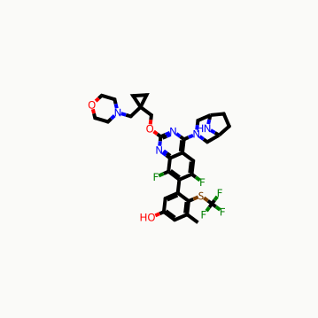 Cc1cc(O)cc(-c2c(F)cc3c(N4CC5CCC(C4)N5)nc(OCC4(CN5CCOCC5)CC4)nc3c2F)c1SC(F)(F)F